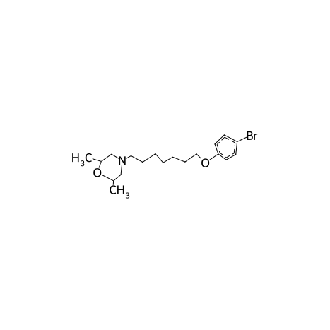 CC1CN(CCCCCCCOc2ccc(Br)cc2)CC(C)O1